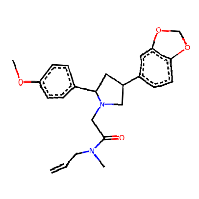 C=CCN(C)C(=O)CN1CC(c2ccc3c(c2)OCO3)CC1c1ccc(OC)cc1